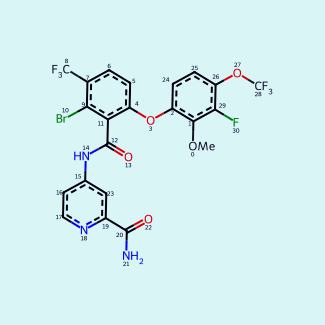 COc1c(Oc2ccc(C(F)(F)F)c(Br)c2C(=O)Nc2ccnc(C(N)=O)c2)ccc(OC(F)(F)F)c1F